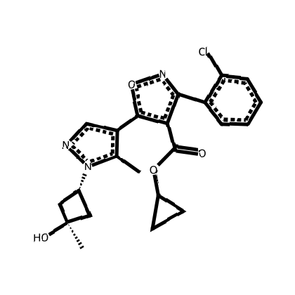 Cc1c(-c2onc(-c3ccccc3Cl)c2C(=O)OC2CC2)cnn1[C@H]1C[C@](C)(O)C1